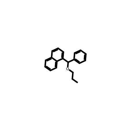 CCCOC(c1ccccc1)c1cccc2ccccc12